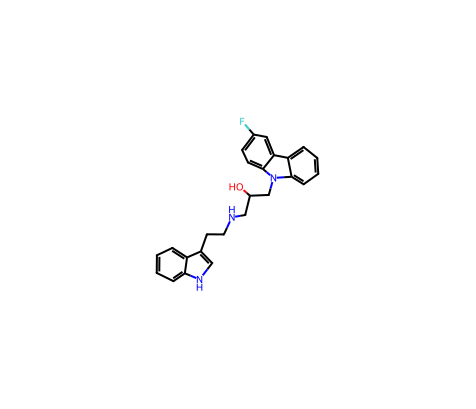 OC(CNCCc1c[nH]c2ccccc12)Cn1c2ccccc2c2cc(F)ccc21